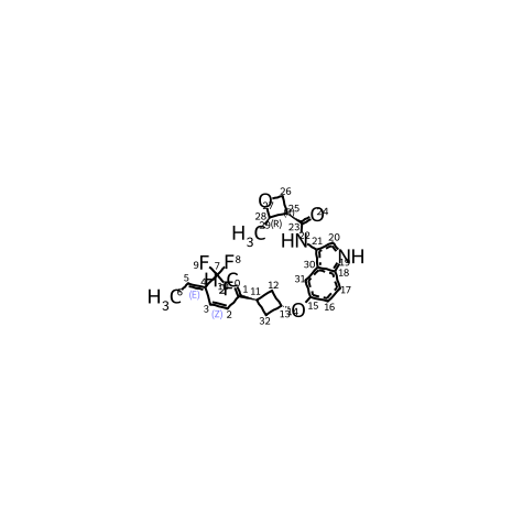 C=C(/C=C\C(=C/C)C(F)(F)F)[C@H]1C[C@H](Oc2ccc3[nH]cc(NC(=O)[C@@H]4CO[C@@H]4C)c3c2)C1